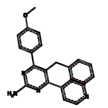 COc1ccc(-c2nc(N)nc(-c3ccncc3)c2Cc2ccccc2)cc1